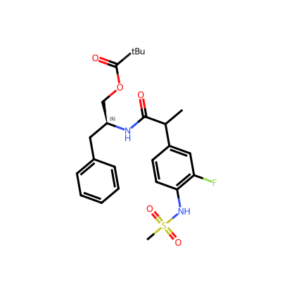 CC(C(=O)N[C@H](COC(=O)C(C)(C)C)Cc1ccccc1)c1ccc(NS(C)(=O)=O)c(F)c1